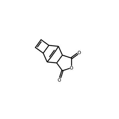 O=C1OC(=O)C2C3C=CC(C4C=CC43)C12